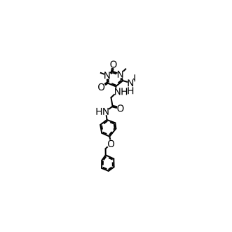 Cn1c(NI)c(NCC(=O)Nc2ccc(OCc3ccccc3)cc2)c(=O)n(C)c1=O